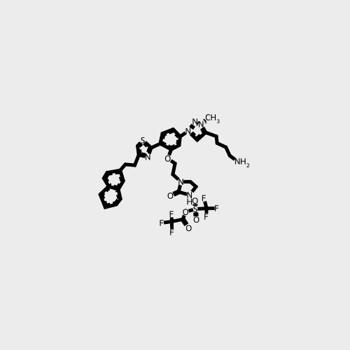 C[n+]1nn(-c2ccc(-c3nc(CCc4ccc5ccccc5c4)cs3)c(OCCN3CCNC3=O)c2)cc1CCCCN.O=C(OS(=O)(=O)C(F)(F)F)C(F)(F)F